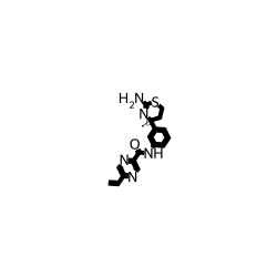 C=Cc1cnc(C(=O)Nc2cccc([C@]3(C)CCSC(N)=N3)c2)cn1